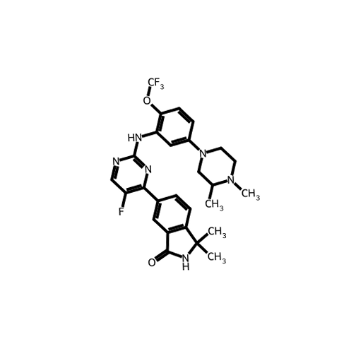 CC1CN(c2ccc(OC(F)(F)F)c(Nc3ncc(F)c(-c4ccc5c(c4)C(=O)NC5(C)C)n3)c2)CCN1C